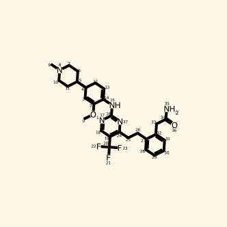 COC1=CC(C2CCN(C)CC2)CC=C1Nc1ncc(C(F)(F)F)c(CCc2ccccc2CC(N)=O)n1